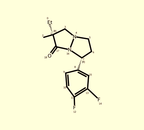 CC[C@]1(C)CN2CC[C@H](c3ccc(F)c(F)c3)N2C1=O